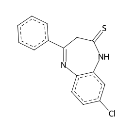 S=C1CC(c2ccccc2)=Nc2ccc(Cl)cc2N1